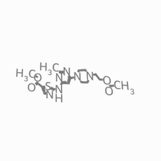 COC(=O)c1cnc(Nc2cc(N3CCN(CCOC(C)=O)CC3)nc(C)n2)s1